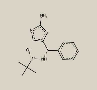 CC(C)(C)[S@+]([O-])N[C@@H](c1ccccc1)c1cnc(N)s1